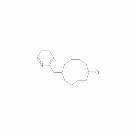 O=C1/C=C/CCC(Cc2ccccn2)CCCC1